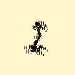 Cc1ncsc1-c1ccc([C@H](C)NC(=O)[C@@H]2C[C@@H](O)CN2C(=O)[C@@H](NC(=O)c2cc3cc(OCCNC(=O)c4ccc(-c5ccc(C6=N[C@@H](CC(=O)O)c7nnc(C)n7-c7sc(C)c(C)c76)cc5)cc4)ccc3o2)C(C)(C)C)cc1